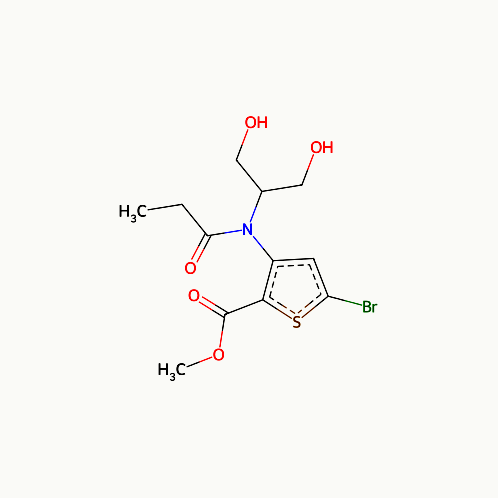 CCC(=O)N(c1cc(Br)sc1C(=O)OC)C(CO)CO